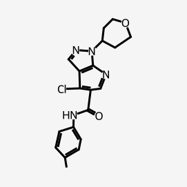 Cc1ccc(NC(=O)c2cnc3c(cnn3C3CCOCC3)c2Cl)cc1